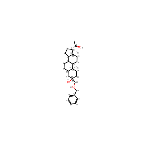 CC(=O)[C@H]1CCC2C3CCC4C[C@@](O)(COCc5ccccc5)CC[C@]4(C)C3CC[C@@]21C